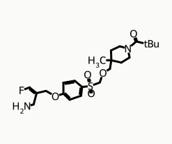 CC1(COCS(=O)(=O)c2ccc(OC/C(=C/F)CN)cc2)CCN(C(=O)C(C)(C)C)CC1